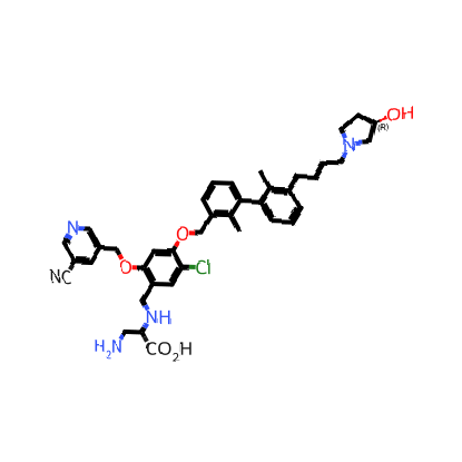 Cc1c(CCCCN2CC[C@@H](O)C2)cccc1-c1cccc(COc2cc(OCc3cncc(C#N)c3)c(CNC(CN)C(=O)O)cc2Cl)c1C